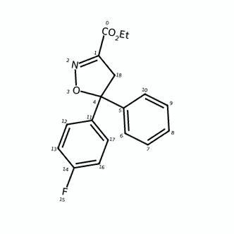 CCOC(=O)C1=NOC(c2ccccc2)(c2ccc(F)cc2)C1